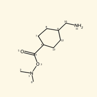 CN(C)OC(=O)C1CCC(CN)CC1